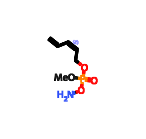 C=C/C=C\COP(=O)(OC)ON